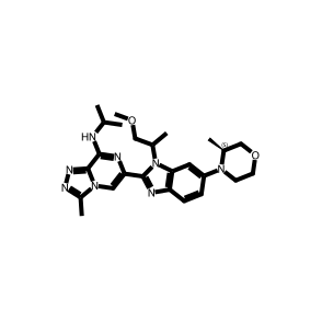 COCC(C)n1c(-c2cn3c(C)nnc3c(NC(C)C)n2)nc2ccc(N3CCOC[C@@H]3C)cc21